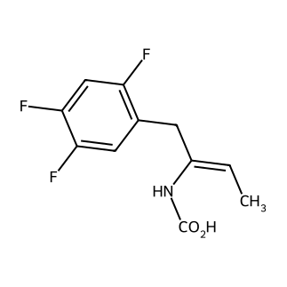 CC=C(Cc1cc(F)c(F)cc1F)NC(=O)O